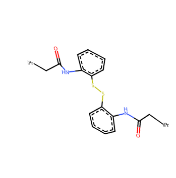 CC(C)CC(=O)Nc1ccccc1SSc1ccccc1NC(=O)CC(C)C